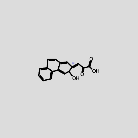 O=C(O)C(=O)/C=C1/C=c2ccc3ccccc3c2=CC1O